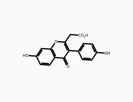 O=C(O)Cc1oc2cc(O)ccc2c(=O)c1-c1ccc(O)cc1